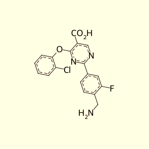 NCc1ccc(-c2ncc(C(=O)O)c(Oc3ccccc3Cl)n2)cc1F